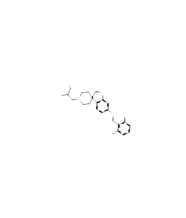 CC(CC=O)CN1CCC2(CC1)COc1cc(OCc3c(Cl)cccc3Cl)ccc12